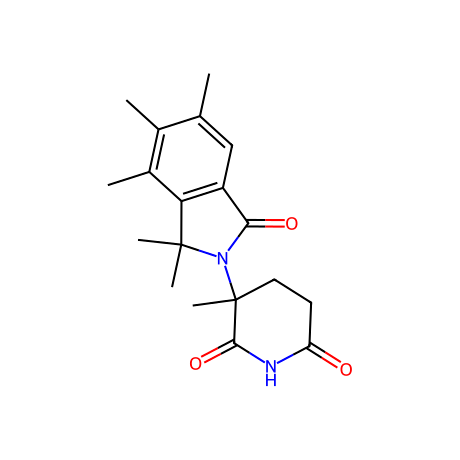 Cc1cc2c(c(C)c1C)C(C)(C)N(C1(C)CCC(=O)NC1=O)C2=O